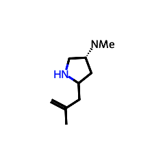 C=C(C)CC1C[C@@H](NC)CN1